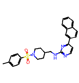 Cc1ccc(S(=O)(=O)N2CCC(CNc3nccc(-c4ccc5ccccc5c4)n3)CC2)cc1